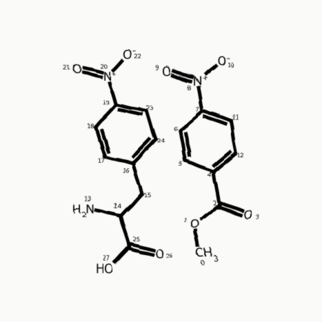 COC(=O)c1ccc([N+](=O)[O-])cc1.NC(Cc1ccc([N+](=O)[O-])cc1)C(=O)O